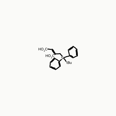 CC(C)(C)[Si](C/C(=C/C(=O)O)C(=O)O)(c1ccccc1)c1ccccc1